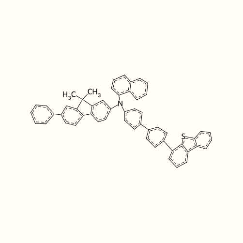 CC1(C)c2cc(-c3ccccc3)ccc2-c2ccc(N(c3ccc(-c4ccc(-c5cccc6c5sc5ccccc56)cc4)cc3)c3cccc4ccccc34)cc21